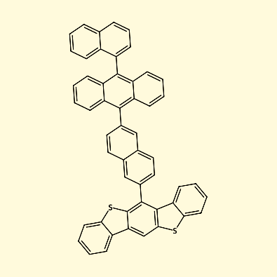 c1ccc2c(-c3c4ccccc4c(-c4ccc5cc(-c6c7sc8ccccc8c7cc7sc8ccccc8c67)ccc5c4)c4ccccc34)cccc2c1